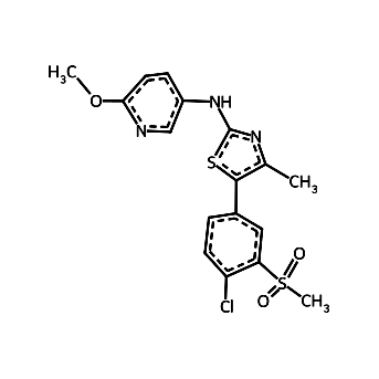 COc1ccc(Nc2nc(C)c(-c3ccc(Cl)c(S(C)(=O)=O)c3)s2)cn1